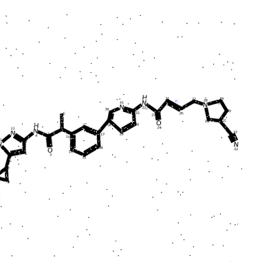 CC(C(=O)Nc1cc(C2CC2)[nH]n1)c1cccc(-c2ccc(NC(=O)/C=C/CN3CCC(C#N)C3)nc2)c1